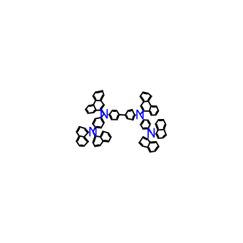 c1ccc2c(N(c3ccc(N(c4ccc(-c5ccc(N(c6ccc(N(c7cccc8ccccc78)c7cccc8ccccc78)cc6)c6cc7ccccc7c7ccccc67)cc5)cc4)c4cc5ccccc5c5ccccc45)cc3)c3cccc4ccccc34)cccc2c1